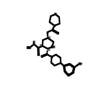 CC(C)c1cccc(C2CCN(C(=O)[C@H]3NC[C@H](CC(=O)N4CCOCC4)C[C@@H]3C(=O)NO)CC2)c1